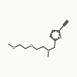 C#Cc1ccc(CN(C)CCOCCOC)s1